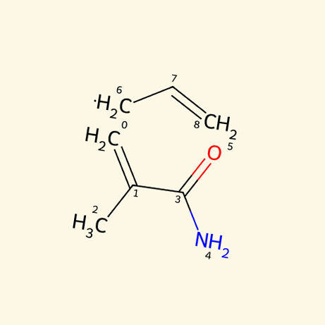 C=C(C)C(N)=O.[CH2]C=C